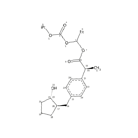 CCC(OC(=O)OC(C)C)OC(=O)[C@@H](C)c1ccc(C[C@H]2CCC[C@@H]2O)cc1